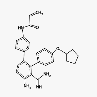 C=CC(=O)Nc1ccc(-c2ccc(N)c(C(=N)N)c2-c2ccc(OC3CCCC3)cc2)cc1